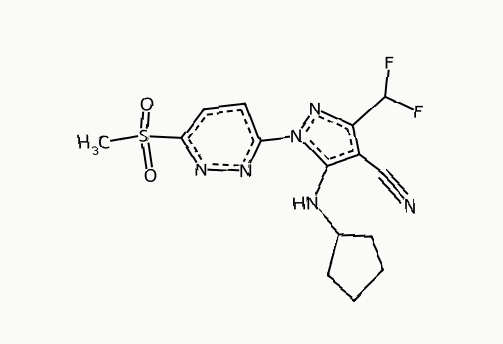 CS(=O)(=O)c1ccc(-n2nc(C(F)F)c(C#N)c2NC2CCCC2)nn1